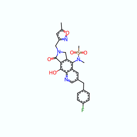 Cc1cc(CN2Cc3c(c(O)c4ncc(Cc5ccc(F)cc5)cc4c3N(C)S(C)(=O)=O)C2=O)no1